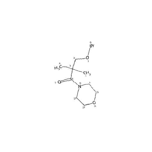 CC(C)OCC(C)(C)C(=O)N1CCOCC1